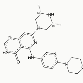 C[C@@H]1CN(c2cc3nc[nH]c(=O)c3c(Nc3ccc(N4CCOCC4)nc3)n2)C[C@H](C)N1